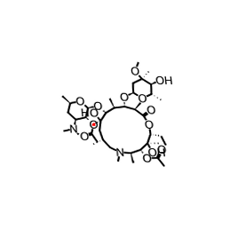 CC[C@H]1OC(=O)[C@H](C)[C@@H](O[C@H]2C[C@@](C)(OC)[C@@H](O)[C@H](C)O2)[C@H](C)[C@@H](O[C@@H]2O[C@H](C)C[C@H](N(C)C)[C@H]2OC(C)=O)[C@](C)(O)C[C@@H](C)CN(C)[C@H](C)[C@@H](OC(C)=O)[C@]1(C)O